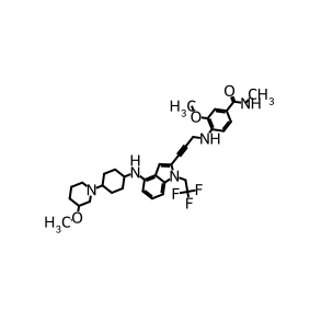 CNC(=O)c1ccc(NCC#Cc2cc3c(NC4CCC(N5CCCC(OC)C5)CC4)cccc3n2CC(F)(F)F)c(OC)c1